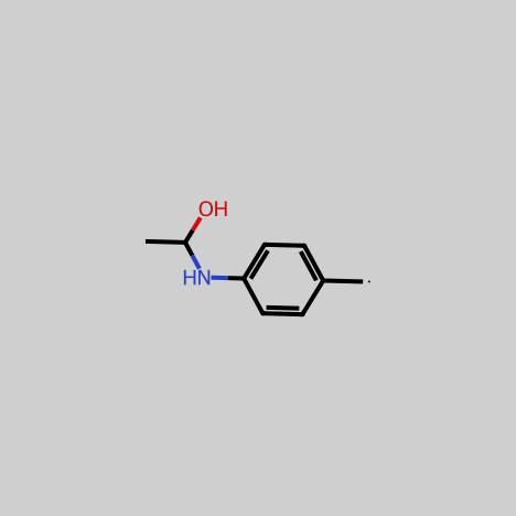 [CH2]c1ccc(NC(C)O)cc1